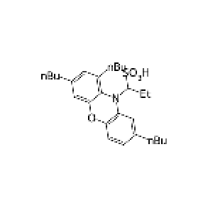 CCCCc1cc(CCCC)c2c(c1)Oc1ccc(CCCC)cc1N2C(CC)S(=O)(=O)O